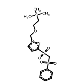 C[Si](C)(C)CCOCn1ccc(S(=O)(=O)CS(=O)(=O)c2ccccc2)n1